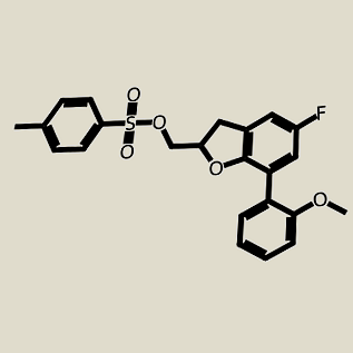 COc1ccccc1-c1cc(F)cc2c1OC(COS(=O)(=O)c1ccc(C)cc1)C2